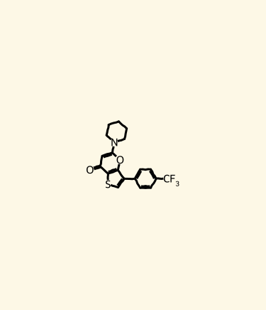 O=c1cc(N2CCCCC2)oc2c(-c3ccc(C(F)(F)F)cc3)csc12